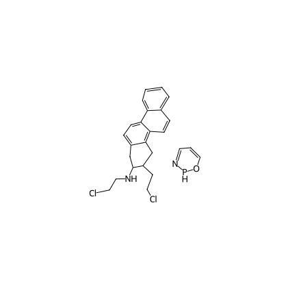 C1=COPN=C1.ClCCNC1Cc2ccc3c(ccc4ccccc43)c2CC1CCCl